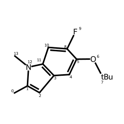 Cc1cc2cc(OC(C)(C)C)c(F)cc2n1C